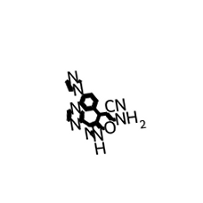 N#CC1=C(N)Oc2[nH]nc(-c3cnccn3)c2C1c1ccc(-n2ccnc2)cc1